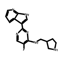 Fc1cnc(-c2c[nH]c3ncccc23)nc1NCC1CCNC1